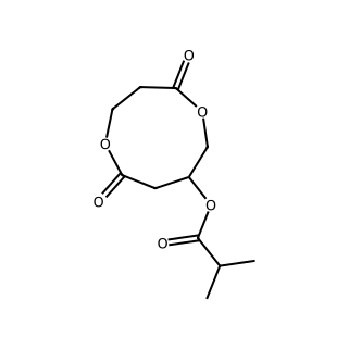 CC(C)C(=O)OC1COC(=O)CCOC(=O)C1